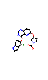 O=C(O)N1CC[C@H](Oc2ccc3ncnc(Oc4ccc5[nH]ccc5c4F)c3n2)C1